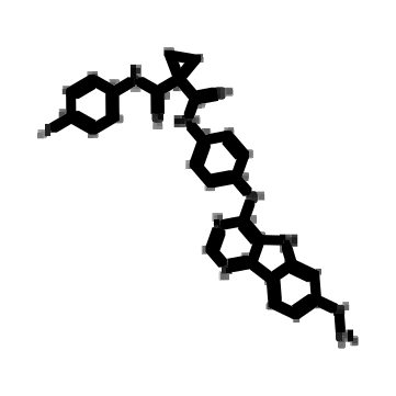 COc1ccc2c(c1)[nH]c1c(Oc3ccc(NC(=O)C4(C(=O)Nc5ccc(F)cc5)CC4)cc3)ncnc12